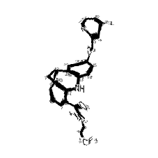 O=C(NCCC(F)(F)F)c1ccccc1Nc1ccc(OCc2ccccn2)cc1C1CC1